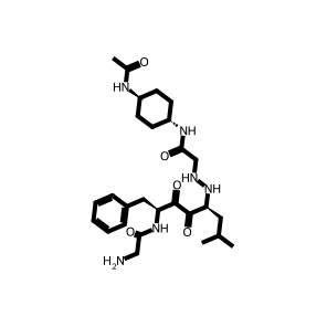 CC(=O)N[C@H]1CC[C@H](NC(=O)CNN[C@@H](CC(C)C)C(=O)C(=O)[C@H](Cc2ccccc2)NC(=O)CN)CC1